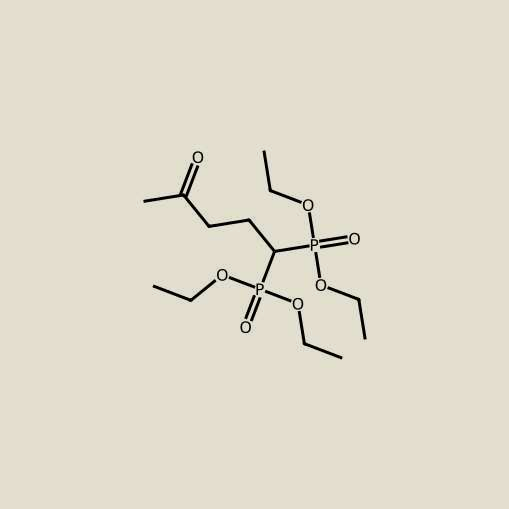 CCOP(=O)(OCC)C(CCC(C)=O)P(=O)(OCC)OCC